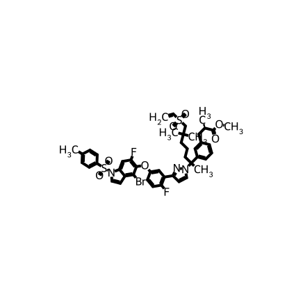 C=CS(=O)(=O)CC(C)(C)CCCC(C)(c1cccc(C[C@@H](C)C(=O)OC)c1)n1ccc(-c2cc(Oc3c(F)cc4c(ccn4S(=O)(=O)c4ccc(C)cc4)c3Br)ccc2F)n1